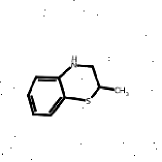 CC1CNc2ccccc2S1